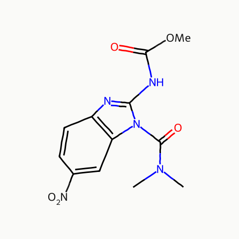 COC(=O)Nc1nc2ccc([N+](=O)[O-])cc2n1C(=O)N(C)C